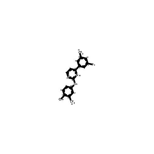 Fc1cc(-c2ccnc(Oc3ccc(Cl)c(C(F)(F)F)c3)n2)cc(C(F)(F)F)c1